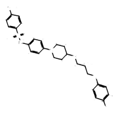 CC(=O)Nc1ccc(S(=O)(=O)Nc2ccc(N3CCC(NC[C@H](O)COc4ccc(O)cc4)CC3)cc2)cc1